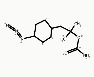 CC(C)(CC1CCC(N=[N+]=[N-])CC1)OC(N)=O